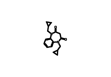 O=C1CC(=O)N(CC2CC2)c2ccccc2N1CC1CC1